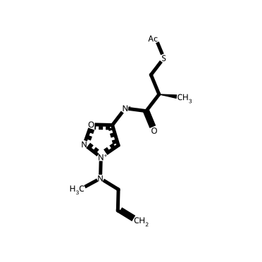 C=CCN(C)[n+]1cc([N-]C(=O)[C@H](C)CSC(C)=O)on1